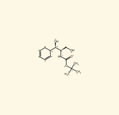 CC(C)(C)OC(=O)N[C@H](CO)[C@H](O)C1C=CC=CC1